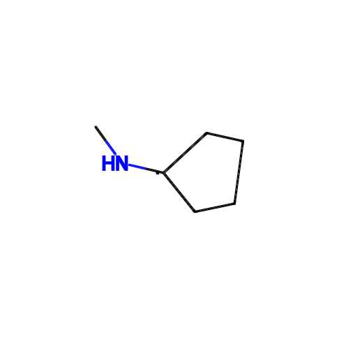 CN[C]1CCCC1